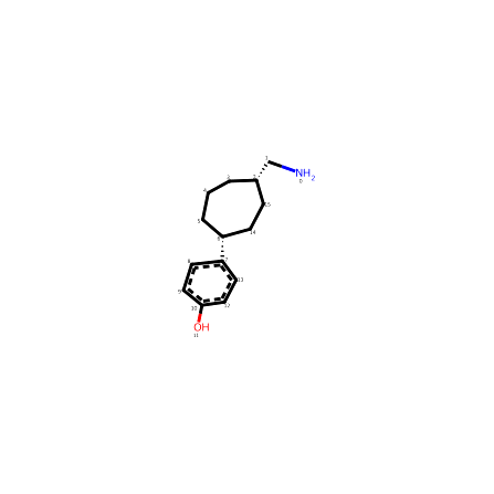 NC[C@H]1CCC[C@@H](c2ccc(O)cc2)CC1